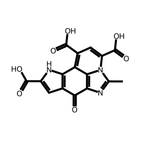 Cc1nc2c(=O)c3cc(C(=O)O)[nH]c3c3c(C(=O)O)cc(C(=O)O)n1c23